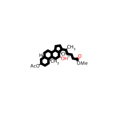 COC(=O)CCC[C@@H](C)C1CCC2C3CC[C@@H]4C[C@H](OC(C)=O)CC[C@]4(C)C3C[C@@H](O)[C@@]21C